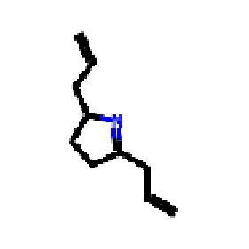 C=CCC1=NC(CC=C)CC1